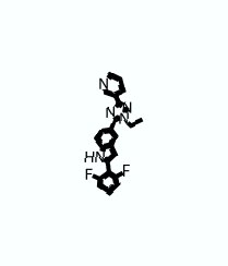 CCn1nc(-c2cccnc2)nc1-c1ccc2[nH]c(-c3c(F)cccc3F)cc2c1